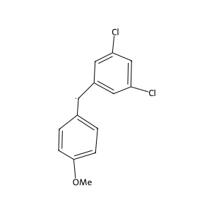 COc1ccc([CH]c2cc(Cl)cc(Cl)c2)cc1